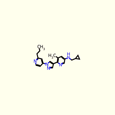 CCCc1cc(-n2cc(-c3ncc(NCC4CC4)cc3C)cn2)ccn1